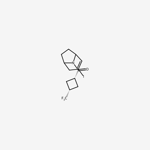 O=C([C@H]1C[C@@H](C(F)(F)F)C1)N1C2C=C(I)CC1CC2